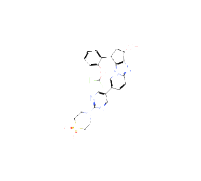 O=S1(=O)CCN(c2ncc(-c3ccc4nc5c(n4c3)[C@@H](c3ccccc3OC(F)F)C[C@H]5O)cn2)CC1